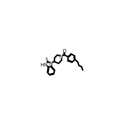 CCCCc1ccc(C(=O)N2CCC(n3c(=S)[nH]c4ccccc43)CC2)cc1